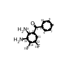 Nc1c(C(=O)c2ccccc2)cc(F)c(F)c1N